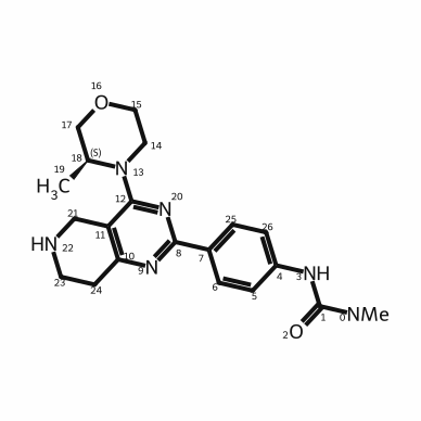 CNC(=O)Nc1ccc(-c2nc3c(c(N4CCOC[C@@H]4C)n2)CNCC3)cc1